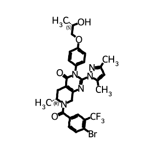 Cc1cc(C)n(-c2nc3c(c(=O)n2-c2ccc(OC[C@H](C)O)cc2)C[C@@H](C)N(C(=O)c2ccc(Br)c(C(F)(F)F)c2)C3)n1